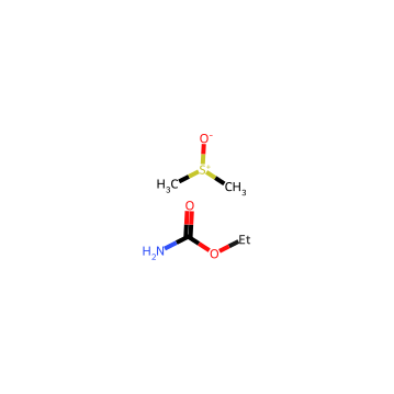 CCOC(N)=O.C[S+](C)[O-]